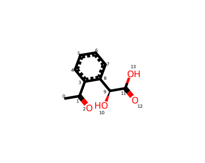 CC(=O)c1ccccc1[C@H](O)C(=O)O